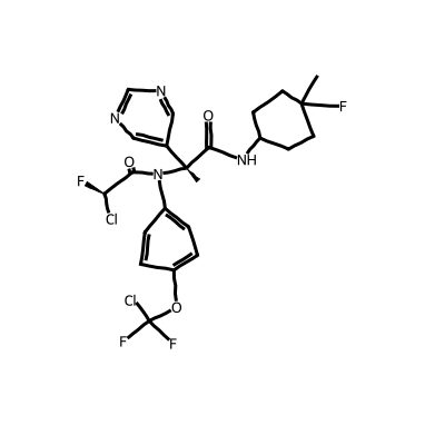 CC1(F)CCC(NC(=O)[C@@](C)(c2cncnc2)N(C(=O)[C@H](F)Cl)c2ccc(OC(F)(F)Cl)cc2)CC1